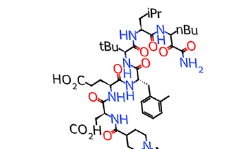 CCCCC(NC(=O)[C@H](CC(C)C)NC(=O)[C@@H](NC(=O)[C@H](Cc1ccccc1C)NC(=O)[C@H](CCC(=O)O)NC(=O)[C@H](CC(=O)O)NC(=O)C1CCN(C(C)=O)CC1)C(C)(C)C)C(=O)C(N)=O